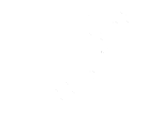 CCc1cc(Nc2nccn3c(-c4ccc(OC)c(F)c4F)cnc23)ccc1C(=O)NCCCNC(=O)C(CCCNC(=N)N)NC(=O)C(N)CCC(=O)O